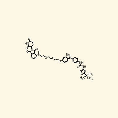 CC(C)(C)c1cc(NC(=O)Nc2ccc(-n3cnc4cc(OCCOCCOCCNc5cccc6c5C(=O)N(C5CCC(=O)NC5=O)C6=O)ccc43)cc2)no1